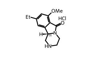 CCc1cc(OC)c2c(c1)[C@H]1CNCCN1C2=O.Cl